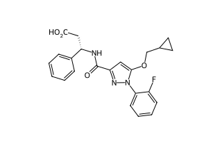 O=C(O)C[C@H](NC(=O)c1cc(OCC2CC2)n(-c2ccccc2F)n1)c1ccccc1